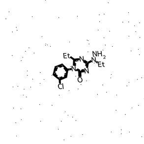 CCc1nc(N(N)CC)nc(=O)n1-c1cccc(Cl)c1